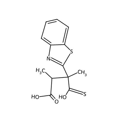 CC(C(=O)O)C(C)(C(O)=S)c1nc2ccccc2s1